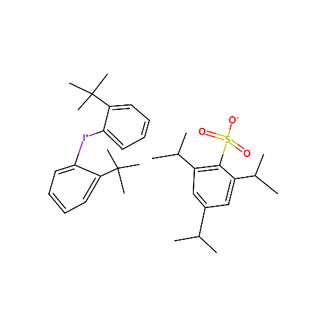 CC(C)(C)c1ccccc1[I+]c1ccccc1C(C)(C)C.CC(C)c1cc(C(C)C)c(S(=O)(=O)[O-])c(C(C)C)c1